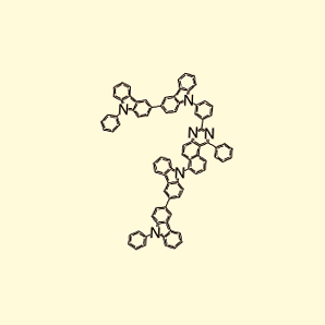 c1ccc(-c2nc(-c3cccc(-n4c5ccccc5c5cc(-c6ccc7c(c6)c6ccccc6n7-c6ccccc6)ccc54)c3)nc3ccc4c(-n5c6ccccc6c6cc(-c7ccc8c(c7)c7ccccc7n8-c7ccccc7)ccc65)cccc4c23)cc1